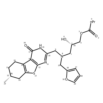 CCCC(=O)OC[C@@H](O)CN(Cc1nc2sc3c(c2c(=O)[nH]1)CC[C@@H](C)C3)Cc1ccco1